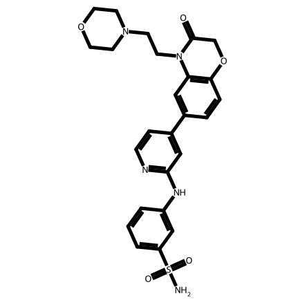 NS(=O)(=O)c1cccc(Nc2cc(-c3ccc4c(c3)N(CCN3CCOCC3)C(=O)CO4)ccn2)c1